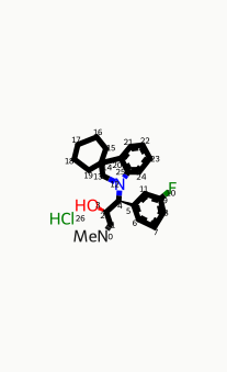 CNC[C@@H](O)[C@H](c1cccc(F)c1)N1CC2(CCCCC2)c2ccccc21.Cl